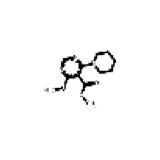 COC(=O)c1c(OC)n[c]nc1N1CCCCC1